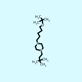 CC(C)(C)CCN1CCN(CCCCCOC(C)(C)C)CC1